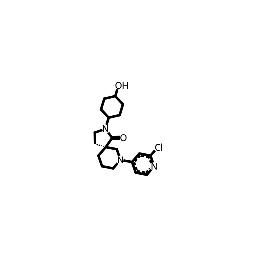 O=C1N(C2CCC(O)CC2)CC[C@]12CCCN(c1ccnc(Cl)c1)C2